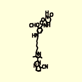 Cc1nn(CCCCCCNc2ccc(C(=O)NC3CCC(=O)NC3=O)c(C=O)c2)c(C)c1-c1cnc2cccc(C#N)c2n1